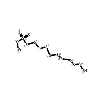 CC(C)OS(=S)(=S)SSSSSSSSSSS